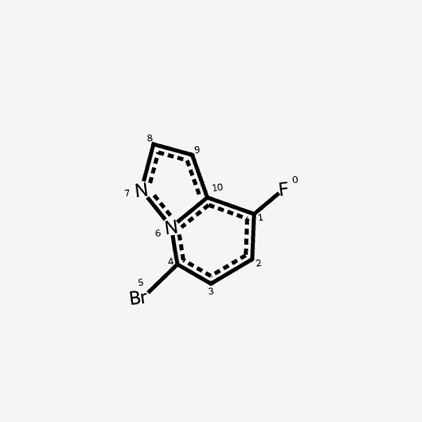 Fc1ccc(Br)n2nccc12